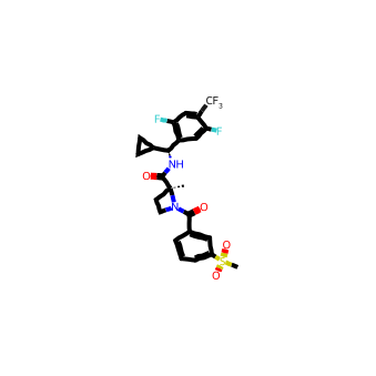 C[C@@]1(C(=O)N[C@@H](c2cc(F)c(C(F)(F)F)cc2F)C2CC2)CCN1C(=O)c1cccc(S(C)(=O)=O)c1